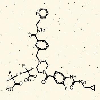 O=C(NCC1CC1)Nc1ccc(C(=O)N2CCN(Cc3cccc(C(=O)NCc4ccccn4)c3)CC2)cc1F.O=C(O)C(F)(F)F.O=C(O)C(F)(F)F